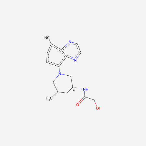 N#Cc1ccc(N2CC(C(F)(F)F)C[C@@H](NC(=O)CO)C2)c2nccnc12